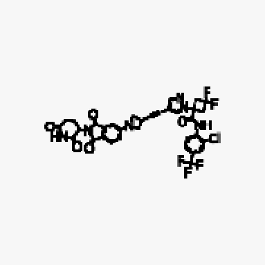 O=C1CCC(N2C(=O)c3ccc(N4CC(C#Cc5cnn(C6(C(=O)Nc7ccc(C(F)(F)F)cc7Cl)CC(F)(F)C6)c5)C4)cc3C2=O)C(=O)N1